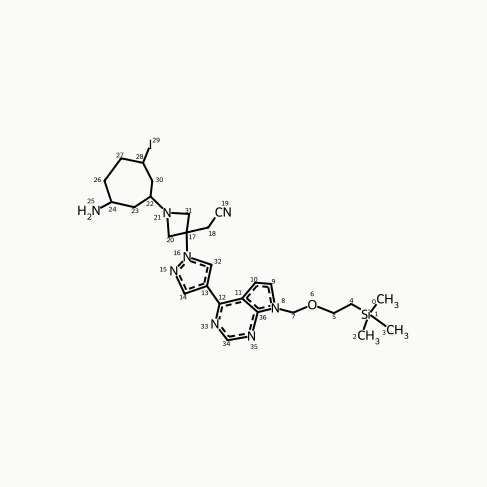 C[Si](C)(C)CCOCn1ccc2c(-c3cnn(C4(CC#N)CN(C5CC(N)CCC(I)C5)C4)c3)ncnc21